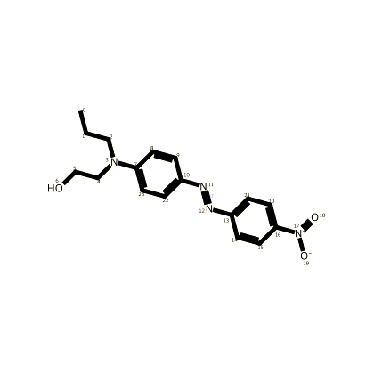 CCCN(CCO)c1ccc(/N=N/c2ccc([N+](=O)[O-])cc2)cc1